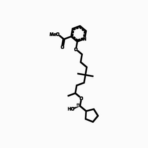 COC(=O)c1cccnc1OCCCC(C)(C)CCC(C)O[C@@H](O)C1CCCC1